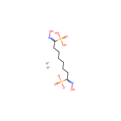 O=P([O-])([O-])C(CCCCCCC(=NO)P(=O)(O)O)=NO.[Li+].[Li+]